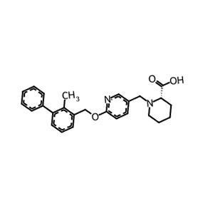 Cc1c(COc2ccc(CN3CCCC[C@H]3C(=O)O)cn2)cccc1-c1ccccc1